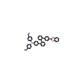 CCc1ccc(N(c2ccc(CC)cc2)c2ccc(-c3ccccc3-c3ccccc3-c3ccc(-c4nc5ccccc5o4)cc3)cc2)cc1